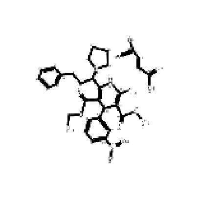 CCOC(=O)C1=C(C(CCc2ccccc2)N2CCCC2)NC(C)=C(C(=O)OC)C1c1cccc([N+](=O)[O-])c1.O=C(O)/C=C/C(=O)O